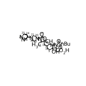 CCCCS(=O)(=O)NC(C(=O)O)C1(O)CCC(CC2(C)OC(=O)N(N3CCN(c4ccnnc4)CC3)C2C)CC1